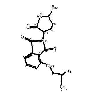 CC(C)CNc1cccc2c1C(=O)N(C1CCC(O)NC1=O)C2=O